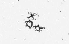 CCC(C)(CC)C[C@H]1C[C@@H](c2cc(=O)[nH]o2)CCN1